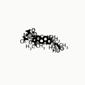 CC(C)C1=C2[C@H]3CC[C@@H]4[C@@]5(C)CC[C@H](OC(=O)CC(C)(C)C(=O)O)C(C)(C)[C@@H]5CC[C@@]4(C)[C@]3(C)CCC2([C@H]2CN(C3(c4ncc(Cl)cn4)CC3)C(=O)O2)CC1=O